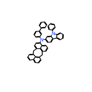 c1ccc(-c2cccc(N(c3ccc4c5ccccc5n(-c5ccccc5)c4c3)c3ccc4c5c(cccc35)Cc3cccc5cccc(c35)C4)c2)cc1